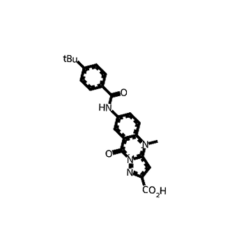 Cn1c2ccc(NC(=O)c3ccc(C(C)(C)C)cc3)cc2c(=O)n2nc(C(=O)O)cc12